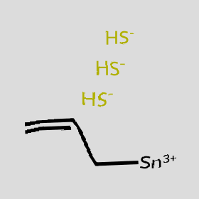 C=C[CH2][Sn+3].[SH-].[SH-].[SH-]